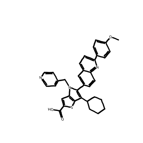 COc1ccc(-c2ccc3cc(-c4c(C5CCCCC5)c5sc(C(=O)O)cc5n4Cc4ccncc4)ccc3n2)cc1